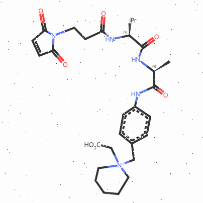 CC(C)[C@H](NC(=O)CCN1C(=O)C=CC1=O)C(=O)N[C@@H](C)C(=O)Nc1ccc(C[N+]2(CC(=O)O)CCCCC2)cc1